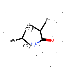 CCC(CC)C(N)=O.CCCC(C(=O)O)C(=O)O